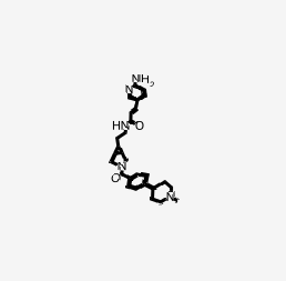 CN1CCC(c2ccc(C(=O)N3CC4C(CCNC(=O)/C=C/c5ccc(N)nc5)C4C3)cc2)CC1